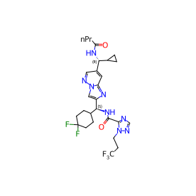 CCCC(=O)N[C@@H](c1cnn2cc([C@@H](NC(=O)c3ncnn3CCC(F)(F)F)C3CCC(F)(F)CC3)nc2c1)C1CC1